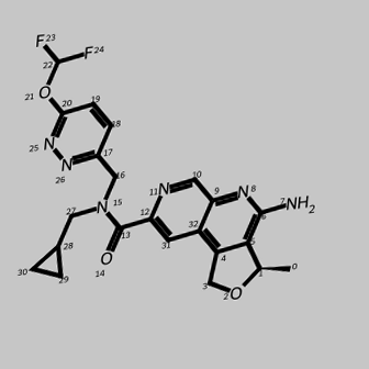 C[C@H]1OCc2c1c(N)nc1cnc(C(=O)N(Cc3ccc(OC(F)F)nn3)CC3CC3)cc21